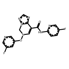 O=C(Nc1ccc(F)cn1)C1=CN(Oc2cncc(F)c2)Cn2ncnc21